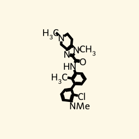 CNc1cccc(-c2cccc(NC(=O)c3nc4c(n3C)CCN(C)C4)c2C)c1Cl